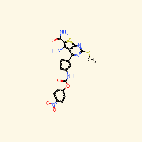 CSc1nc(-c2cccc(NC(=O)Oc3ccc([N+](=O)[O-])cc3)c2)c2c(N)c(C(N)=O)sc2n1